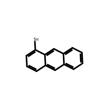 [Sn][c]1cccc2cc3ccccc3cc12